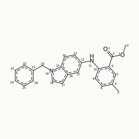 COC(=O)c1cc(C)ccc1Nc1ccc2c(ccn2Cc2ccccc2)c1